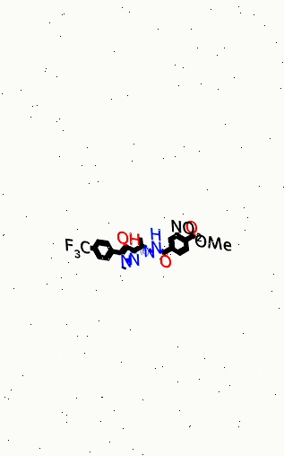 COC(=O)c1ccc(C(=O)N/N=C(\C)c2nn(C)c(-c3ccc(C(F)(F)F)cc3)c2O)cc1[N+](=O)[O-]